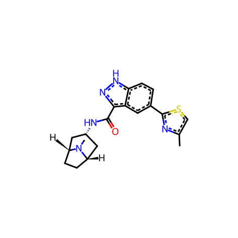 Cc1csc(-c2ccc3[nH]nc(C(=O)N[C@H]4C[C@H]5CC[C@@H](C4)N5C)c3c2)n1